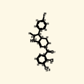 CN1NC2=CN(C(=O)c3cccc(C(F)(F)F)c3Cl)CCC2C1c1ccc(F)cc1